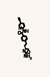 C#Cc1ccc(NC(=O)c2ccc(CC[C@H]3COC(N)=N3)cc2)nc1